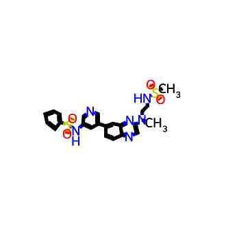 CN(CCNS(C)(=O)=O)c1cnc2ccc(-c3cncc(NS(=O)(=O)c4ccccc4)c3)cc2n1